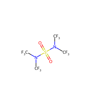 O=S(=O)(N(C(F)(F)F)C(F)(F)F)N(C(F)(F)F)C(F)(F)F